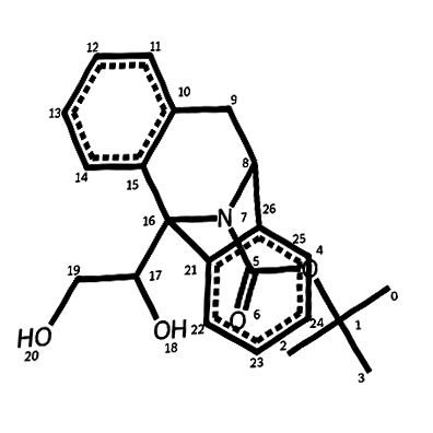 CC(C)(C)OC(=O)N1C2Cc3ccccc3C1(C(O)CO)c1ccccc12